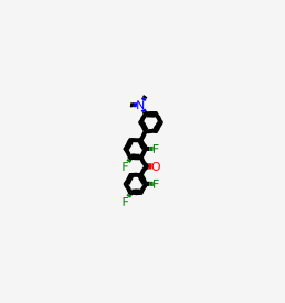 CN(C)c1cccc(-c2ccc(F)c(C(=O)c3ccc(F)cc3F)c2F)c1